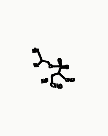 CCCCC(CC)COS(=O)(=O)C(C=O)CC=O.[NaH]